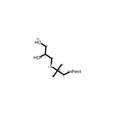 CCCCCCC(C)(C)SCC(O)CO